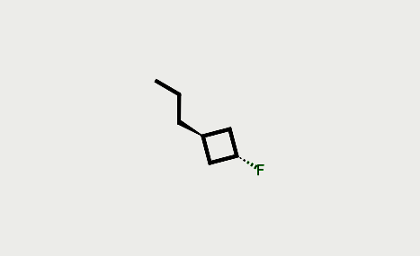 CCC[C@H]1C[C@H](F)C1